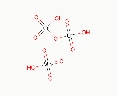 [O]=[Cr](=[O])([OH])[O][Cr](=[O])(=[O])[OH].[O]=[Mn](=[O])(=[O])[OH]